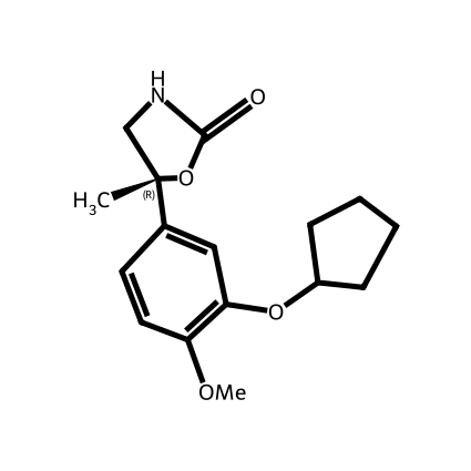 COc1ccc([C@]2(C)CNC(=O)O2)cc1OC1CCCC1